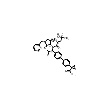 C[C@H]1CN(Cc2ccccn2)C(=O)[C@H]1N(C(=O)[C@@H](N)CC(C)(C)F)[C@@H](c1ccc(-c2ccc(C3(C(N)=O)CC3)cc2)cc1)C(F)F